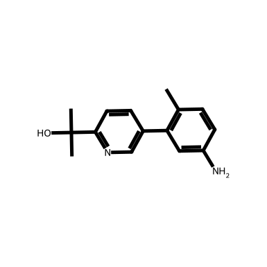 Cc1ccc(N)cc1-c1ccc(C(C)(C)O)nc1